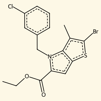 CCOC(=O)c1cc2sc(Br)c(C)c2n1Cc1cccc(Cl)c1